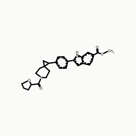 COC(=O)c1ccc2cc(-c3ccc(C4CC45CCN(C(=O)C4CCCO4)CC5)cc3)[nH]c2c1